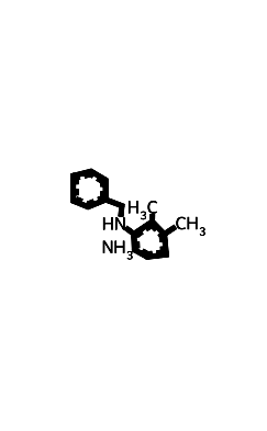 Cc1cccc(NCc2ccccc2)c1C.N